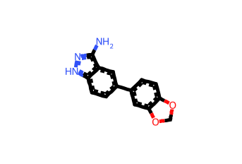 Nc1n[nH]c2ccc(-c3ccc4c(c3)OCO4)cc12